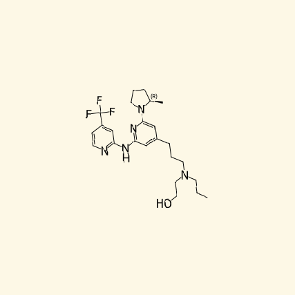 CCCN(CCO)CCCc1cc(Nc2cc(C(F)(F)F)ccn2)nc(N2CCC[C@H]2C)c1